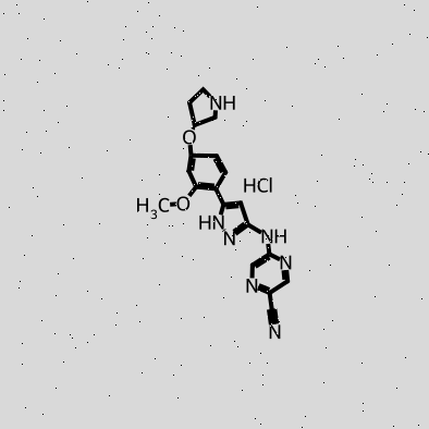 COc1cc(O[C@H]2CCNC2)ccc1-c1cc(Nc2cnc(C#N)cn2)n[nH]1.Cl